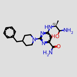 C[C@H](Nc1cc(C(N)=O)nc(N2CCC(Cc3ccccc3)CC2)n1)C(N)O